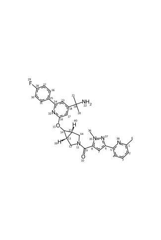 Cc1cccc(-c2cc(C(=O)N3C[C@@H]4C(Oc5cc(C(C)(C)N)cc(-c6ccc(F)cc6)n5)[C@@H]4C3)n(C)n2)n1